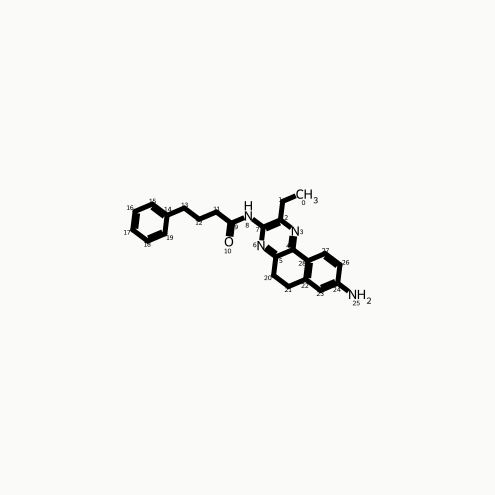 CCc1nc2c(nc1NC(=O)CCCc1ccccc1)CCc1cc(N)ccc1-2